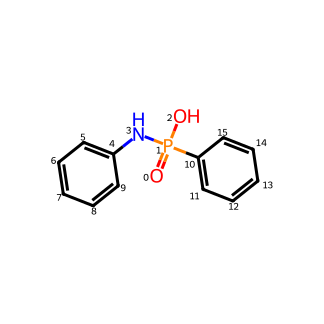 O=P(O)(Nc1ccccc1)c1ccccc1